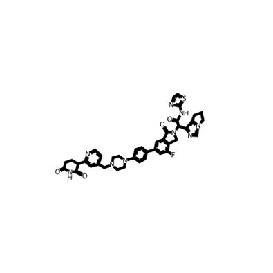 O=C1CCC(c2cc(CN3CCN(c4ccc(-c5cc(F)c6c(c5)C(=O)N(C(C(=O)Nc5nccs5)c5ncn7c5CCC7)C6)cc4)CC3)ccn2)C(=O)N1